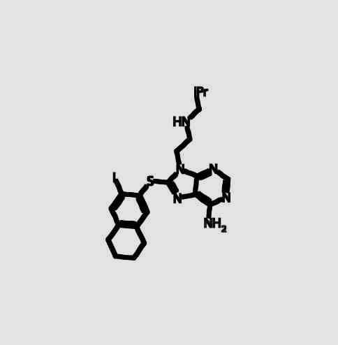 CC(C)CNCCn1c(Sc2cc3c(cc2I)CCCC3)nc2c(N)ncnc21